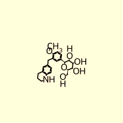 COc1ccc([C@@H]2O[C@H](CO)[C@@H](O)[C@H](O)[C@H]2O)cc1Cc1ccc2c(c1)CCCN2